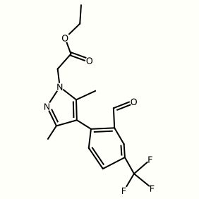 CCOC(=O)Cn1nc(C)c(-c2ccc(C(F)(F)F)cc2C=O)c1C